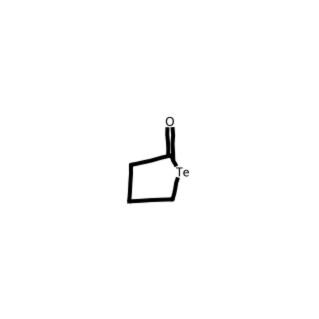 O=C1CCC[Te]1